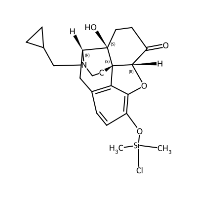 C[Si](C)(Cl)Oc1ccc2c3c1O[C@H]1C(=O)CC[C@@]4(O)[C@@H](C2)N(CC2CC2)CC[C@]314